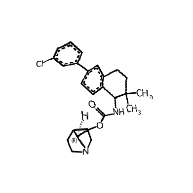 CC1(C)CCc2cc(-c3cccc(Cl)c3)ccc2C1NC(=O)O[C@H]1CN2CCC1CC2